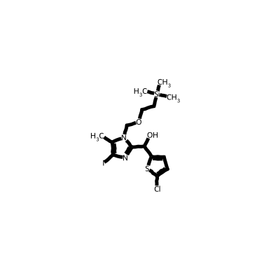 Cc1c(I)nc(C(O)c2ccc(Cl)s2)n1COCC[Si](C)(C)C